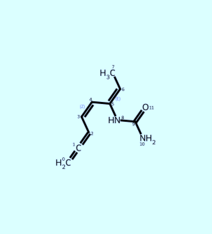 C=C=C/C=C\C(=C/C)NC(N)=O